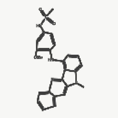 COc1cc(NS(C)(=O)=O)ccc1Nc1cccc2c1c1nc3ccccc3cc1n2C